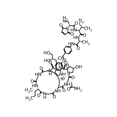 CC[C@H](C)[C@@H]1NC(=O)CNC(=O)C2Cc3c([nH]c4cc(OCc5ccc(NC(=O)[C@H](C)NC(=O)[C@@H](NC(=O)[C@H](CN)N6C(=O)C=CC6=O)C(C)C)cc5)ccc34)[S+]([O-])CC(NC(=O)CNC1=O)C(=O)N[C@@H](CC(N)=O)C(=O)N1C[C@H](O)C[C@H]1C(=O)N[C@@H]([C@@H](C)[C@@H](O)CO)C(=O)N2